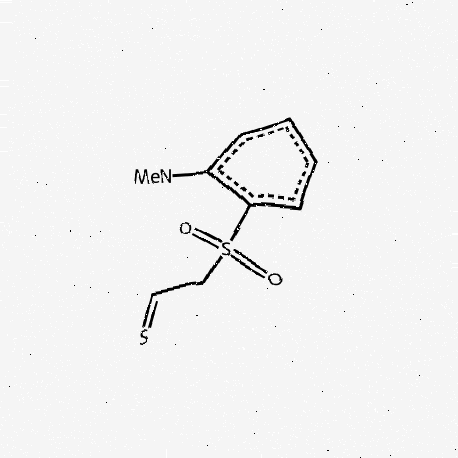 CNc1ccccc1S(=O)(=O)CC=S